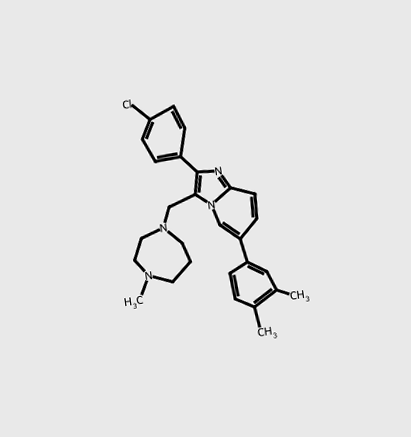 Cc1ccc(-c2ccc3nc(-c4ccc(Cl)cc4)c(CN4CCCN(C)CC4)n3c2)cc1C